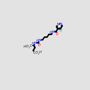 O=C(O)CC[C@H](NC(=O)NCCCCCNC(=O)c1cnncc1[18F])C(=O)O